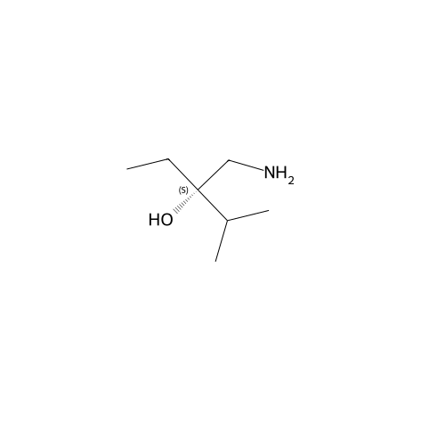 CC[C@@](O)(CN)C(C)C